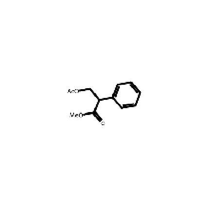 COC(=O)C(COC(C)=O)c1ccccc1